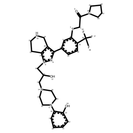 O=C(CSc1cc(-c2nn(CC(O)CN3CCN(c4ccccc4O)CC3)c3c2CNCC3)ccc1C(F)(F)F)N1CCCC1